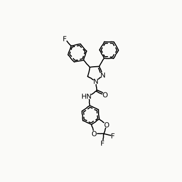 O=C(Nc1ccc2c(c1)OC(F)(F)O2)N1CC(c2ccc(F)cc2)C(c2ccccc2)=N1